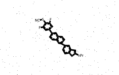 CCCC1=Cc2cc(-c3ccc4cc(-c5cc(F)c(SC#N)c(F)c5)ccc4c3)ccc2C1